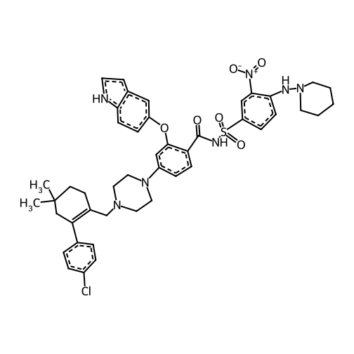 CC1(C)CCC(CN2CCN(c3ccc(C(=O)NS(=O)(=O)c4ccc(NN5CCCCC5)c([N+](=O)[O-])c4)c(Oc4ccc5[nH]ccc5c4)c3)CC2)=C(c2ccc(Cl)cc2)C1